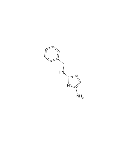 Nc1csc(NCc2ccccc2)n1